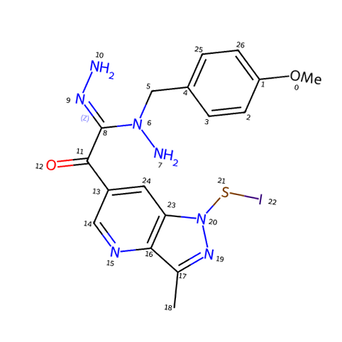 COc1ccc(CN(N)/C(=N\N)C(=O)c2cnc3c(C)nn(SI)c3c2)cc1